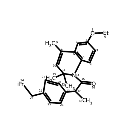 CCOc1ccc2c(c1)C(C)=CC(C)(C)N2C(=O)C(C)c1ccc(CC(C)C)cc1